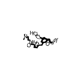 CC(C)c1cc2cc(Cl)cc(Cc3ccc(C(=O)NCCN(C)C)o3)c2o1.Cl